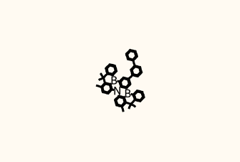 Cc1ccc2c3c1C(C)(C)c1ccccc1B3c1cc(-c3cccc(-c4ccccc4)c3)cc3c1N2c1ccc(C)c2c1B3c1ccccc1C2(C)C